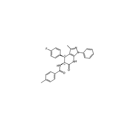 Cc1ccc(C(=O)N[C@@H]2C(=O)Nc3c(c(C)nn3-c3ccccc3)[C@@H]2c2ccc(F)cc2)cc1